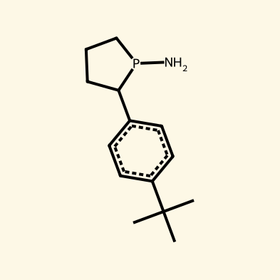 CC(C)(C)c1ccc(C2CCCP2N)cc1